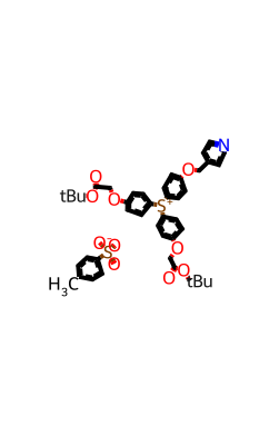 CC(C)(C)OC(=O)COc1ccc([S+](c2ccc(OCC(=O)OC(C)(C)C)cc2)c2ccc(OCc3ccncc3)cc2)cc1.Cc1ccc(S(=O)(=O)[O-])cc1